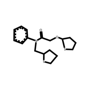 O=C(COC1CCCS1)N(CC1CCCS1)c1ccccc1